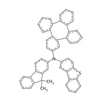 CC1(C)c2ccccc2-c2ccc(N(c3ccc4c(c3)-c3ccccc3-c3ccccc3-c3ccccc3-4)c3ccc4sc5ccccc5c4c3)cc21